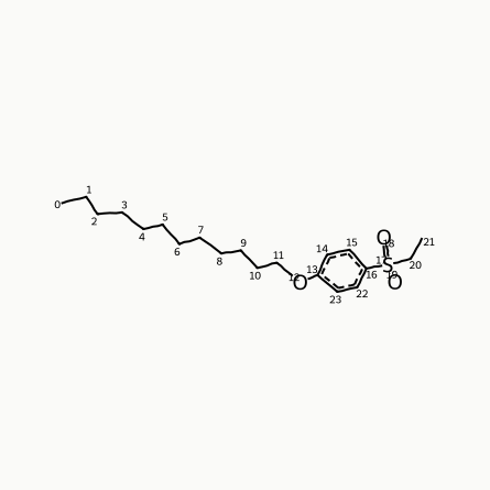 CCCCCCCCCCCCOc1ccc(S(=O)(=O)CC)cc1